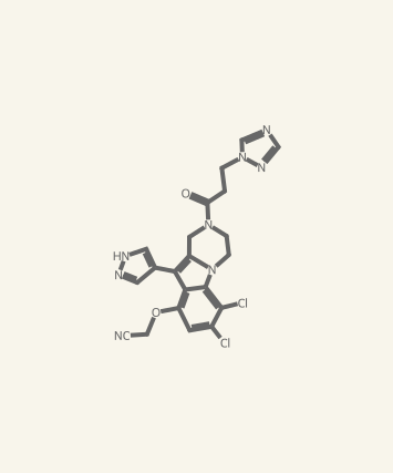 N#CCOc1cc(Cl)c(Cl)c2c1c(-c1cn[nH]c1)c1n2CCN(C(=O)CCn2cncn2)C1